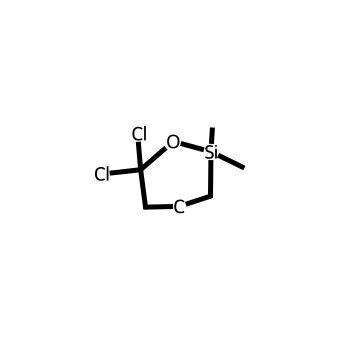 C[Si]1(C)CCCC(Cl)(Cl)O1